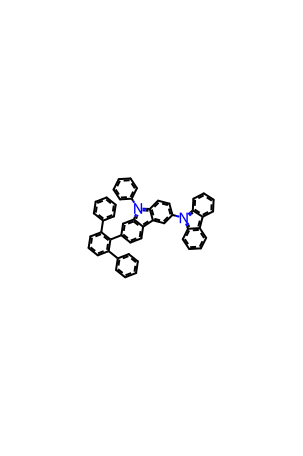 c1ccc(-c2cccc(-c3ccccc3)c2-c2ccc3c4cc(-n5c6ccccc6c6ccccc65)ccc4n(-c4ccccc4)c3c2)cc1